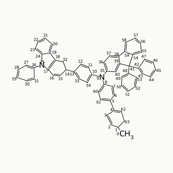 CC1C=CC(c2ccc(N(c3ccc(C4C=Cc5c(c6ccccc6n5-c5ccccc5)C4)cc3)c3ccc4c(c3)C(c3ccccc3)(c3ccccc3)c3ccccc3-4)cc2)=CC1